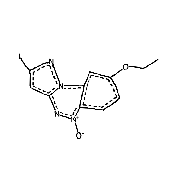 CCOc1ccc2c(c1)n1nc(I)cc1n[n+]2[O-]